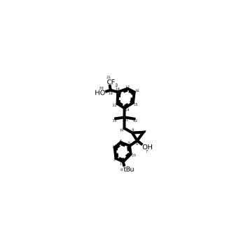 CC(C)(C)c1cccc(C2(O)CC2CC(C)(C)c2cccc(C(O)C(F)(F)F)c2)c1